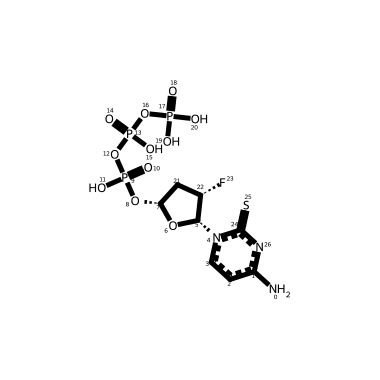 Nc1ccn([C@@H]2O[C@H](OP(=O)(O)OP(=O)(O)OP(=O)(O)O)C[C@@H]2F)c(=S)n1